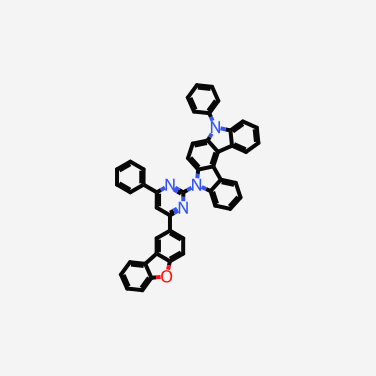 c1ccc(-c2cc(-c3ccc4oc5ccccc5c4c3)nc(-n3c4ccccc4c4c5c6ccccc6n(-c6ccccc6)c5ccc43)n2)cc1